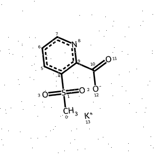 CS(=O)(=O)c1cccnc1C(=O)[O-].[K+]